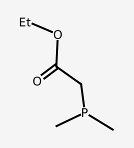 CCOC(=O)CP(C)C